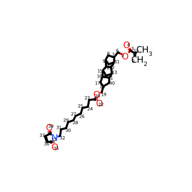 C=C(C)C(=O)OCC1CC2CC1C1C3CC(C4CC(COC(=O)CCCCCCCCCCN5C(=O)C=CC5=O)CC43)C21